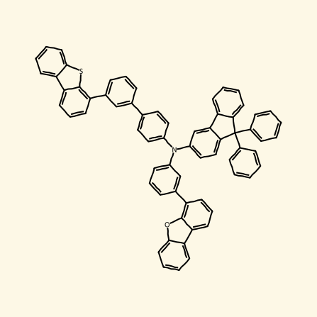 c1ccc(C2(c3ccccc3)c3ccccc3-c3cc(N(c4ccc(-c5cccc(-c6cccc7c6sc6ccccc67)c5)cc4)c4cccc(-c5cccc6c5oc5ccccc56)c4)ccc32)cc1